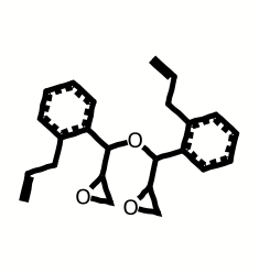 C=CCc1ccccc1C(OC(c1ccccc1CC=C)C1CO1)C1CO1